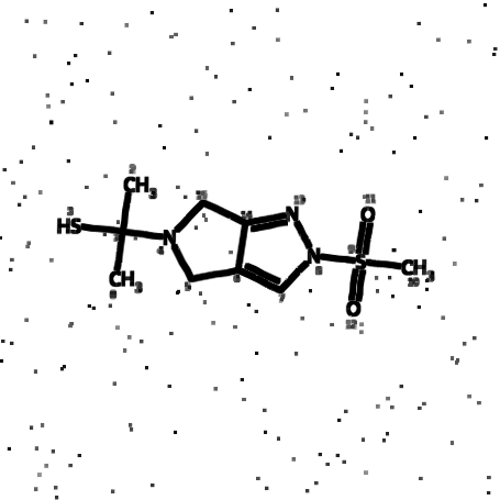 CC(C)(S)N1Cc2cn(S(C)(=O)=O)nc2C1